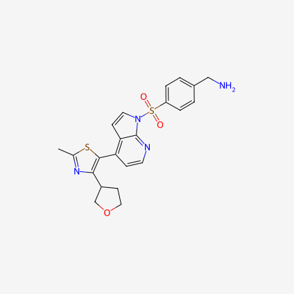 Cc1nc(C2CCOC2)c(-c2ccnc3c2ccn3S(=O)(=O)c2ccc(CN)cc2)s1